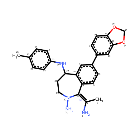 C/C(N)=C1\c2ccc(-c3ccc4c(c3)OCO4)cc2C(Nc2ccc(C)cc2)CCN1N